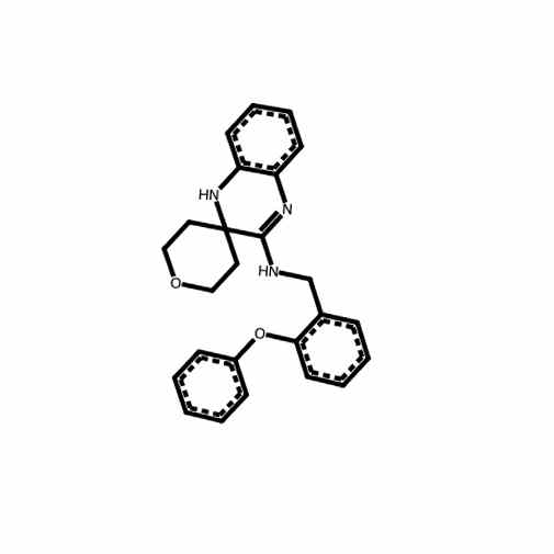 c1ccc(Oc2ccccc2CNC2=Nc3ccccc3NC23CCOCC3)cc1